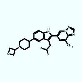 Cc1cc(-c2[nH]c3ccc(C4CCN(C5COC5)CC4)cc3c2CC(F)F)cn2ncnc12